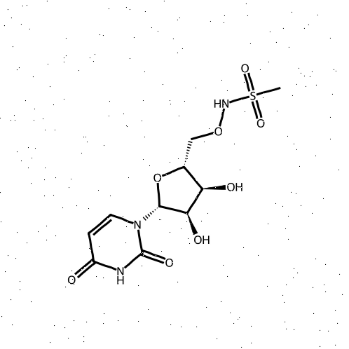 CS(=O)(=O)NOC[C@H]1O[C@@H](n2ccc(=O)[nH]c2=O)[C@H](O)[C@@H]1O